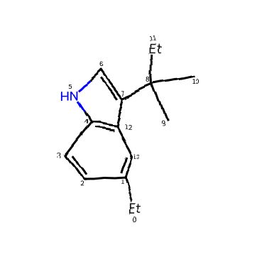 CCc1ccc2[nH]cc(C(C)(C)CC)c2c1